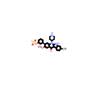 CCOc1cc2c(=O)c3c4ccc(C#N)cc4[nH]c3n(C3CCNCC3)c2cc1-c1cccc(OS(=O)(=O)F)c1